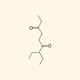 CCC(=O)CCC(=O)C(CC)CC